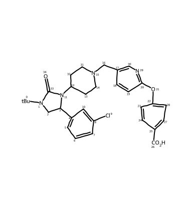 CC(C)(C)N1CC(c2cccc(Cl)c2)N(C2CCN(Cc3ccc(Oc4ccc(C(=O)O)cc4)nc3)CC2)C1=O